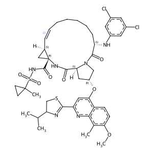 COc1ccc2c(O[C@@H]3C[C@H]4C(=O)N[C@]5(C(=O)NS(=O)(=O)C6(C)CC6)C[C@H]5/C=C\CCCCC[C@H](Nc5cc(Cl)cc(Cl)c5)C(=O)N4C3)cc(C3=NC(C(C)C)CS3)nc2c1C